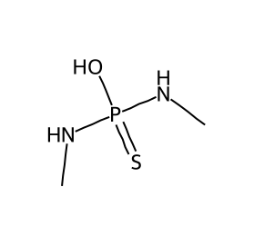 CNP(O)(=S)NC